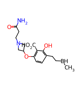 CBCCc1ccc(OC2CN(CCC(N)=O)C2)c(C(=O)O)c1O